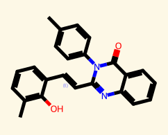 Cc1ccc(-n2c(/C=C/c3cccc(C)c3O)nc3ccccc3c2=O)cc1